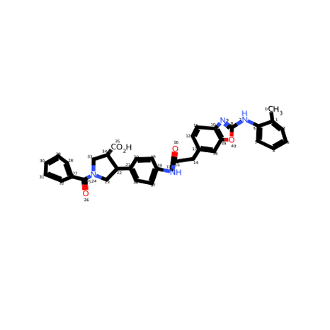 Cc1ccccc1Nc1nc2ccc(CC(=O)Nc3ccc(C4CN(C(=O)c5ccccc5)CC4C(=O)O)cc3)cc2o1